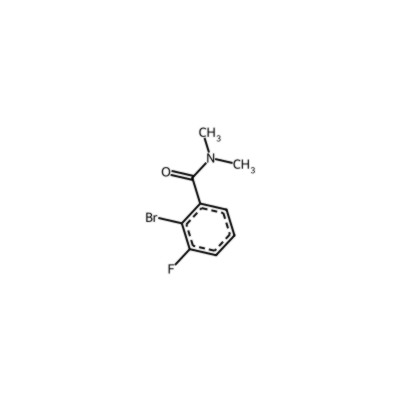 CN(C)C(=O)c1cccc(F)c1Br